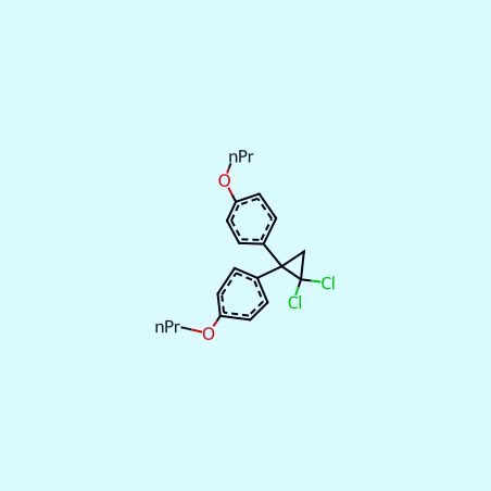 CCCOc1ccc(C2(c3ccc(OCCC)cc3)CC2(Cl)Cl)cc1